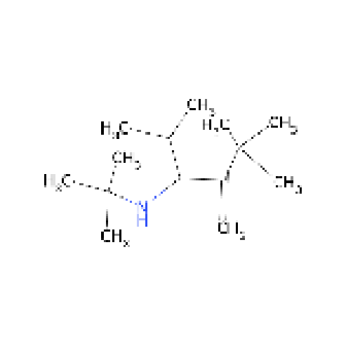 C=C(C(NC(C)(C)C)C(C)C)C(C)(C)C